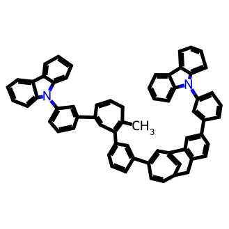 CC1=C(c2cccc(C3=CC4=CC(C=C3)Cc3ccc(-c5cccc(-n6c7ccccc7c7ccccc76)c5)cc34)c2)C=C(c2cccc(-n3c4ccccc4c4ccccc43)c2)C=CC1